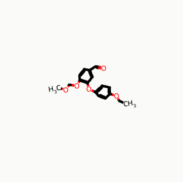 CCOc1ccc(Oc2cc(C=O)ccc2OCOC)cc1